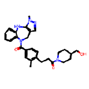 Cc1cc(C(=O)N2Cc3cnn(C)c3Nc3ccccc32)ccc1CCC(=O)N1CCC(CO)CC1